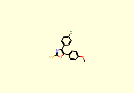 COc1ccc(-c2oc(S)nc2-c2ccc(Cl)cc2)cc1